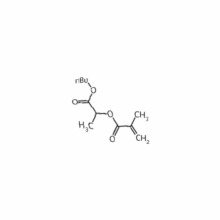 C=C(C)C(=O)OC(C)C(=O)OCCCC